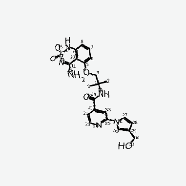 CC(C)(COc1cccc2c1C(N)=NS(=O)(=O)N2)NC(=O)c1ccnc(-n2ccc(CO)c2)c1